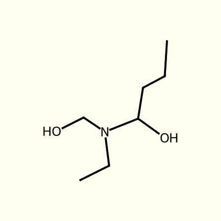 CCCC(O)N(CC)CO